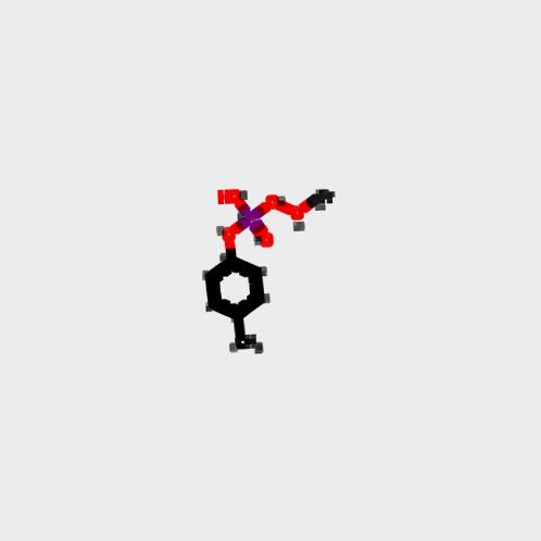 Cc1ccc(OP(=O)(O)OOC(C)C)cc1